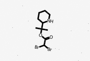 CC(C)(OC(=O)C(Br)Br)C1CCCCN1